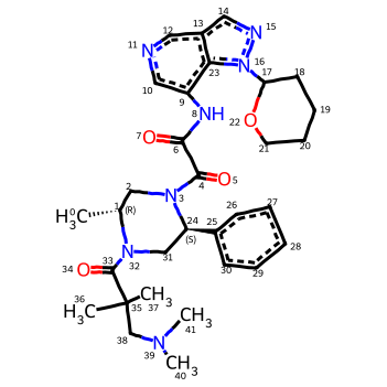 C[C@@H]1CN(C(=O)C(=O)Nc2cncc3cnn(C4CCCCO4)c23)[C@@H](c2ccccc2)CN1C(=O)C(C)(C)CN(C)C